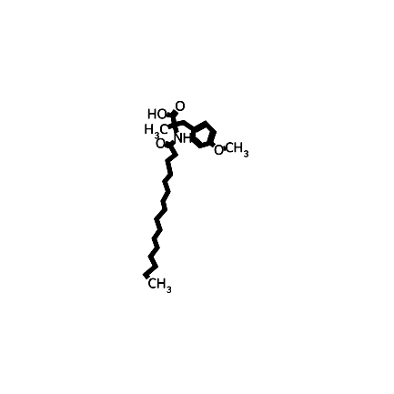 CCCCCCCCCCCCCCCC(=O)NC(C)(Cc1ccc(OC)cc1)C(=O)O